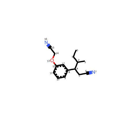 CCC(C)C(CC#N)c1cccc(OCC#N)c1